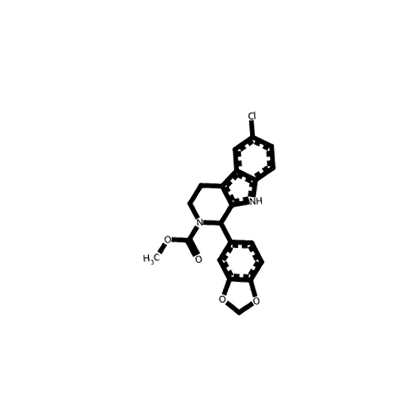 COC(=O)N1CCc2c([nH]c3ccc(Cl)cc23)C1c1ccc2c(c1)OCO2